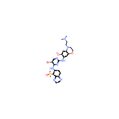 COc1cc2c(cc1Nc1ncc(Br)c(Nc3ccc4nccnc4c3P(C)(C)=O)n1)OCCN2CCN(C)C